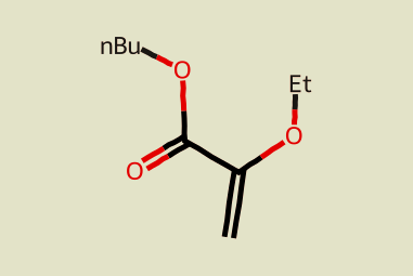 C=C(OCC)C(=O)OCCCC